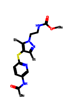 CCc1nn(CCNC(=O)OC(C)(C)C)c(CC)c1Sc1ccc(NC(=O)C(C)(C)C)cn1